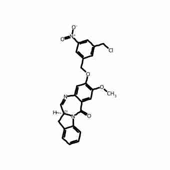 COc1cc2c(cc1OCc1cc(CCl)cc([N+](=O)[O-])c1)N=C[C@@H]1Cc3ccccc3N1C2=O